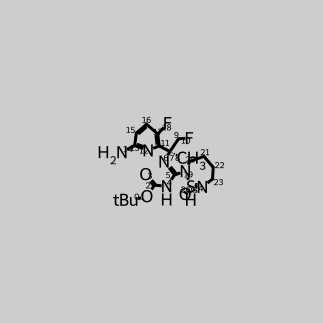 CC(C)(C)OC(=O)N/C(=N/[C@](C)(CF)c1nc(N)ccc1F)N1CCCCN=[SH]1=O